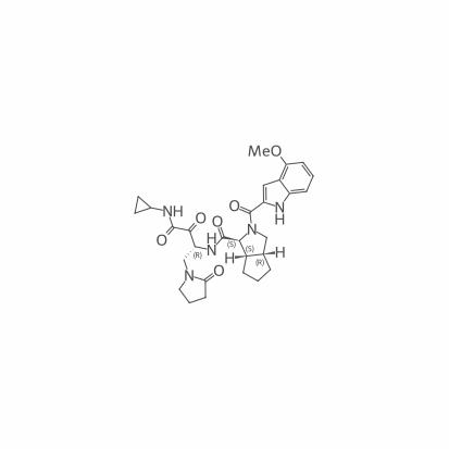 COc1cccc2[nH]c(C(=O)N3C[C@@H]4CCC[C@@H]4[C@H]3C(=O)N[C@H](CN3CCCC3=O)C(=O)C(=O)NC3CC3)cc12